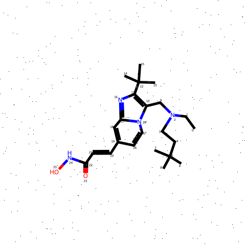 CCN(CCC(C)(C)C)Cc1c(C(C)(C)C)nc2cc(C=CC(=O)NO)ccn12